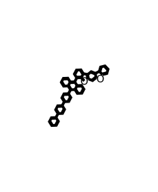 c1ccc(-c2ccc(-c3ccc(-c4c5ccccc5c(-c5cccc6c5oc5cc7oc8ccccc8c7cc56)c5ccccc45)cc3)cc2)cc1